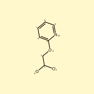 [O]C(Cl)COc1ccccn1